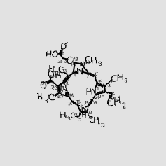 C=Cc1c(C)c2cc3nc(c(C)c4nc(cc5[nH]c(cc1[nH]2)c(C)c5CC)C(C)=C4C(=O)O)[C@@H](CCC(=O)O)[C@@H]3C